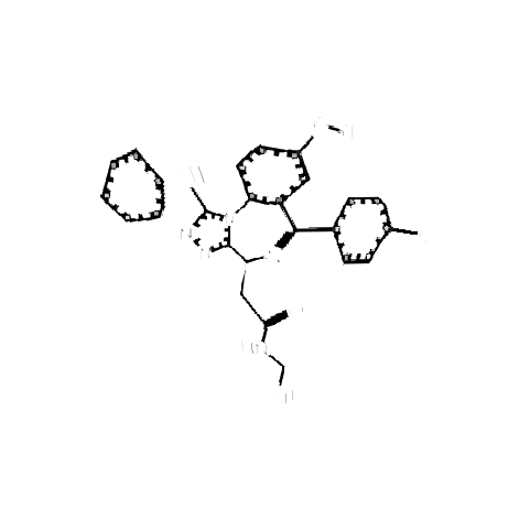 CCNC(=O)C[C@@H]1N=C(c2ccc(Cl)cc2)c2cc(OC)ccc2-n2c(C)nnc21.c1ccccc1